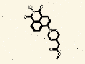 COC(=O)CC1CCN(c2ccc3c4c(cccc24)C(=O)N(O)C3=O)CC1